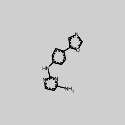 Nc1ccnc(Nc2ccc(-c3cnco3)cc2)n1